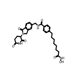 O=C(CCCCCCCc1ccc(C(=O)NCc2ccc3c(c2)CN(C2CCC(=O)NC2=O)C3=O)cc1)NO